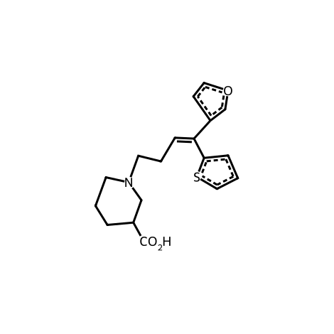 O=C(O)C1CCCN(CC/C=C(/c2ccoc2)c2cccs2)C1